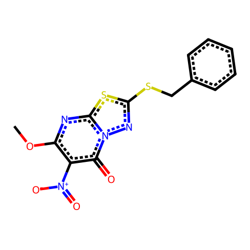 COc1nc2sc(SCc3ccccc3)nn2c(=O)c1[N+](=O)[O-]